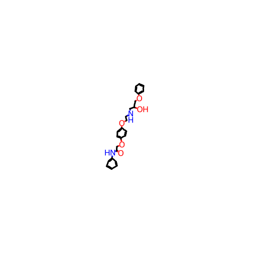 O=C(COc1ccc(OCCNCC(O)COc2ccccc2)cc1)Nc1ccccc1